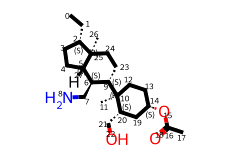 CC[C@H]1CC[C@H]2[C@H](CN)[C@@H]([C@@]3(C)CC[C@H](OC(C)=O)C[C@@H]3CO)CC[C@]12C